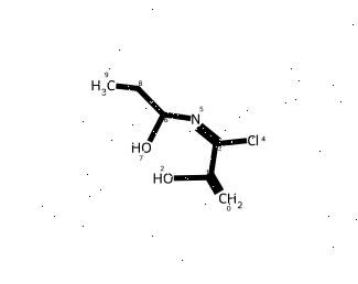 C=C(O)/C(Cl)=N\C(O)CC